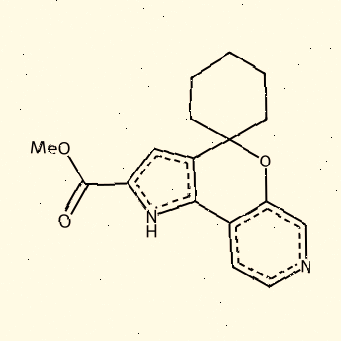 COC(=O)c1cc2c([nH]1)-c1ccncc1OC21CCCCC1